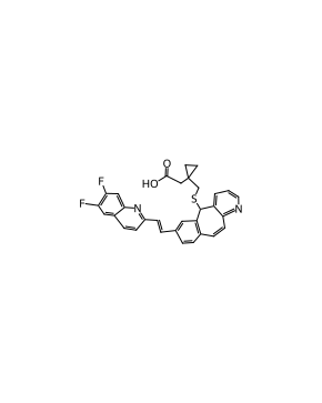 O=C(O)CC1(CSC2c3cc(C=Cc4ccc5cc(F)c(F)cc5n4)ccc3C=Cc3ncccc32)CC1